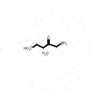 NCC(=O)CCC(=O)O.O